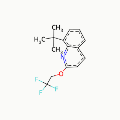 CC(C)(C)c1cccc2ccc(OCC(F)(F)F)nc12